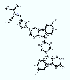 [C-]#[N+]/C(=C\c1ccc(-c2ccc3c(c2)c2cc(I)ccc2n3-c2ccc(-n3c4ccc(I)cc4c4cc(I)ccc43)cc2)s1)C(=O)O